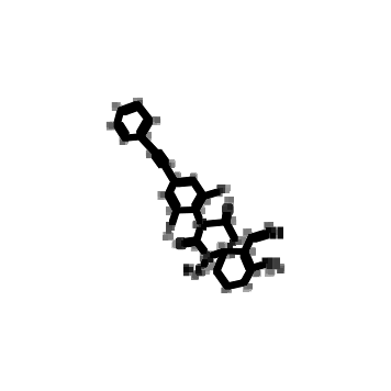 CN1C(=O)N(c2c(F)cc(C#Cc3ccccc3)cc2F)C(=O)C[C@]12CCCC(N)=C2C=N